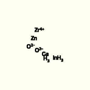 [GaH3].[InH3].[O-2].[O-2].[Zn].[Zr+4]